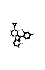 Fc1cc(Cl)ccc1-c1c2n(c3cccnc13)CCN(C1CC1)C2